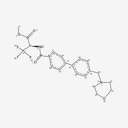 COC(=O)[C@@H](NC(=O)c1ccc(-c2ccc(CN3CCOCC3)cc2)cc1)C(F)(F)F